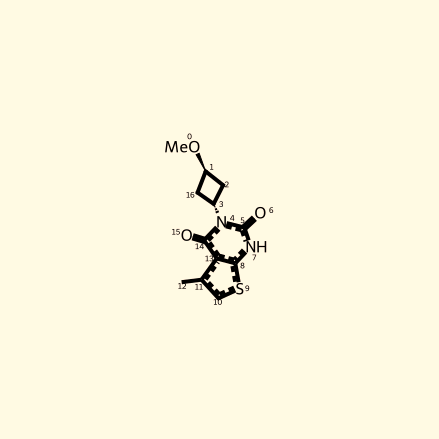 CO[C@H]1C[C@H](n2c(=O)[nH]c3scc(C)c3c2=O)C1